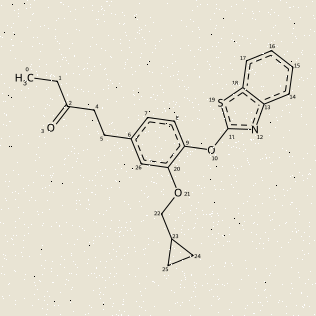 CCC(=O)CCc1ccc(Oc2nc3ccccc3s2)c(OCC2CC2)c1